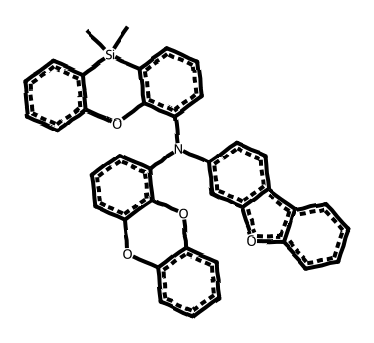 C[Si]1(C)c2ccccc2Oc2c(N(c3ccc4c(c3)oc3ccccc34)c3cccc4c3Oc3ccccc3O4)cccc21